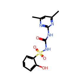 Cc1cc(C)nc(NC(=O)NS(=O)(=O)c2ccccc2O)n1